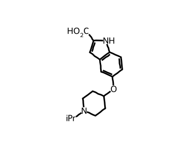 CC(C)N1CCC(Oc2ccc3[nH]c(C(=O)O)cc3c2)CC1